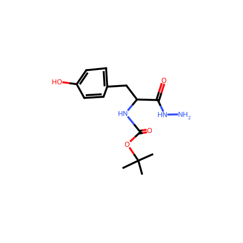 CC(C)(C)OC(=O)NC(Cc1ccc(O)cc1)C(=O)NN